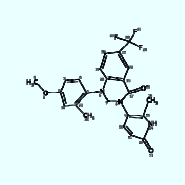 COc1ccc(N2CN(c3ccc(=O)[nH]c3C)C(=O)c3cc(C(F)(F)F)ccc32)c(C)c1